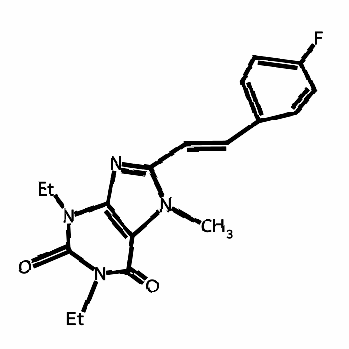 CCn1c(=O)c2c(nc(C=Cc3ccc(F)cc3)n2C)n(CC)c1=O